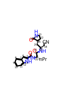 CCC[C@H](NC(=O)c1cc2ccccc2[nH]1)C(=O)N[C@H](CC#N)C[C@@H]1CCNC1=O